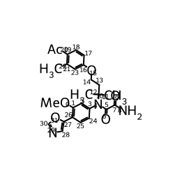 COc1cc(N(C(=O)C(N)=O)C(C)(C)CCOc2ccc(C(C)=O)c(C)c2)ccc1-c1cnco1